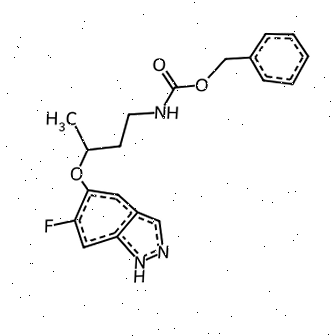 CC(CCNC(=O)OCc1ccccc1)Oc1cc2cn[nH]c2cc1F